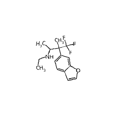 CCNC(C)C(C)(c1ccc2ccoc2c1)C(F)(F)F